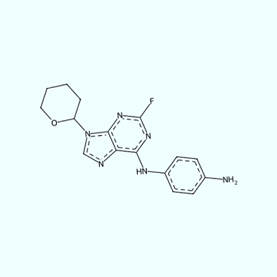 Nc1ccc(Nc2nc(F)nc3c2ncn3C2CCCCO2)cc1